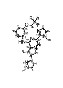 Cc1c(-c2ccn(C)n2)cn2nc(-c3nccn3C)nc(Nc3cc(OCC(F)(F)F)ccn3)c12